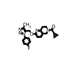 Cc1nnn(-c2ccc(F)cc2)c1COc1ccc2c(n1)CCN(C(=O)C1CC1)C2